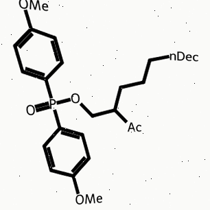 CCCCCCCCCCCCCC(COP(=O)(c1ccc(OC)cc1)c1ccc(OC)cc1)C(C)=O